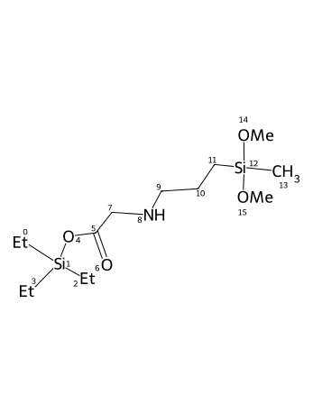 CC[Si](CC)(CC)OC(=O)CNCCC[Si](C)(OC)OC